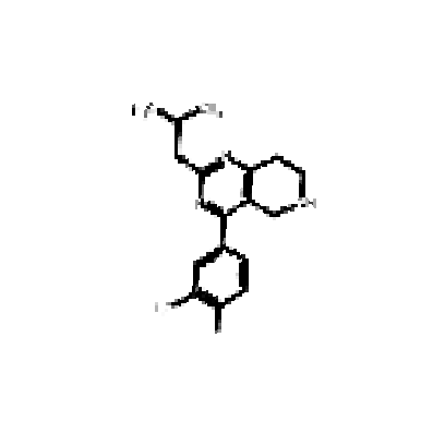 Cc1cc(-c2nc(CC(C)C)nc3c2CNCC3)ccc1F